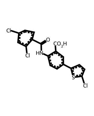 O=C(Nc1ccc(-c2ccc(Cl)s2)cc1C(=O)O)c1ccc(Cl)cc1Cl